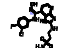 NS(=O)(=O)CCNc1nc2nccc(/C(=N\O)Nc3ccc(F)c(Cl)c3)c2[nH]1